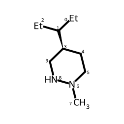 CCC(CC)[C@H]1CCN(C)NC1